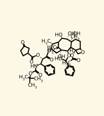 CC(=O)O[C@]12COC1C[C@@H](O)[C@@]1(C)[C@H]2[C@@H](OC(O)c2ccccc2)[C@@]2(O)C[C@@H](OC(=O)[C@@H](OC(=O)C3CCC(=O)C3)[C@H](NC(=O)OC(C)(C)C)c3ccccc3)[C@H](C)C([C@H](O)[C@@H]1O)C2(C)C